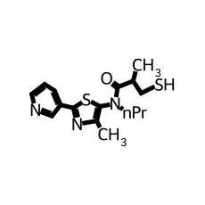 CCCN(C(=O)C(C)CS)c1sc(-c2cccnc2)nc1C